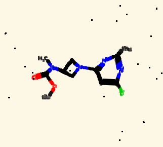 CN(C(=O)OC(C)(C)C)C1CN(c2cc(Cl)nc(C(C)(C)C)n2)C1